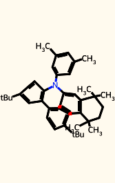 Cc1cc(C)cc(N(c2ccc3c(c2)C(C)(C)CCC3(C)C)c2ccc(C(C)(C)C)cc2-c2ccc(C(C)(C)C)cc2)c1